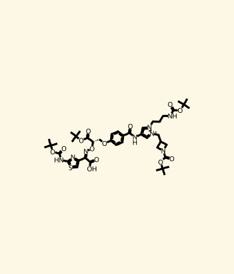 CC(C)(C)OC(=O)NCCCn1cc(NC(=O)c2ccc(OC[C@H](O/N=C(\C(=O)O)c3csc(NC(=O)OC(C)(C)C)n3)C(=O)OC(C)(C)C)cc2)c[n+]1CC1CN(C(=O)OC(C)(C)C)C1